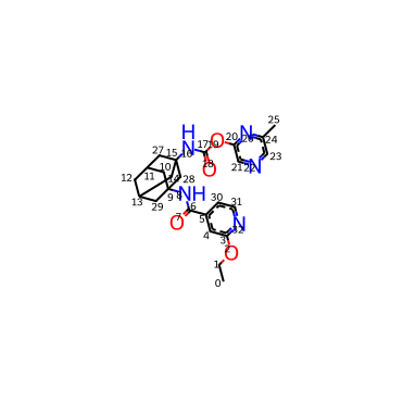 CCOc1cc(C(=O)NC23CC4CC(CC(NC(=O)Oc5cncc(C)n5)(C4)C2)C3)ccn1